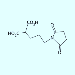 O=C(O)C(CCCN1C(=O)CCC1=O)C(=O)O